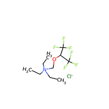 CC[N+](CC)(CC)COC(C(F)(F)F)C(F)(F)F.[Cl-]